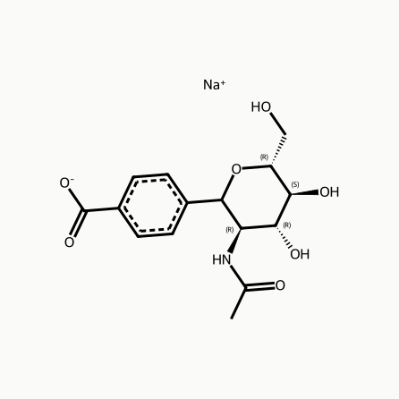 CC(=O)N[C@H]1C(c2ccc(C(=O)[O-])cc2)O[C@H](CO)[C@@H](O)[C@@H]1O.[Na+]